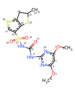 COc1cc(OC)nc(NC(=O)NS(=O)(=O)c2csc3c2SC(C)C3)n1